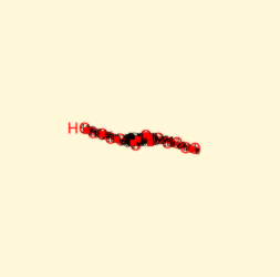 COCCOCCOCCOCCOc1ccc2c(c1)oc1cc3c(cc12)oc1cc(COCCOCCOCCOCCO)ccc13